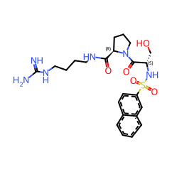 N=C(N)NCCCCNC(=O)[C@H]1CCCN1C(=O)[C@H](CO)NS(=O)(=O)c1ccc2ccccc2c1